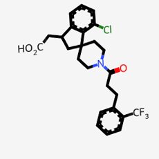 O=C(O)CC1CC2(CCN(C(=O)CCc3ccccc3C(F)(F)F)CC2)c2c(Cl)cccc21